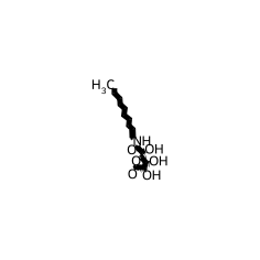 CCCCCCCCCC=CNC(=O)C(O)[C@H]1OC(=O)[C@@H](O)[C@H]1O